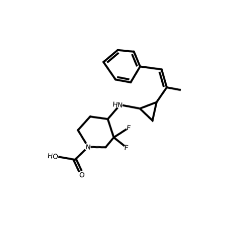 CC(=Cc1ccccc1)C1CC1NC1CCN(C(=O)O)CC1(F)F